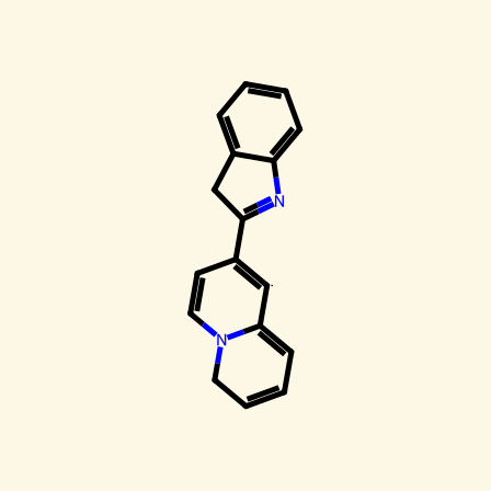 [C]1=C(C2=Nc3ccccc3C2)C=CN2CC=CC=C12